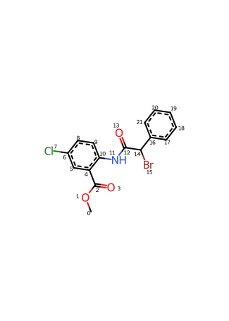 COC(=O)c1cc(Cl)ccc1NC(=O)C(Br)c1ccccc1